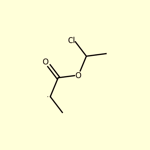 C[CH]C(=O)OC(C)Cl